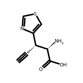 C#C[C@H](c1cscn1)[C@H](N)C(=O)O